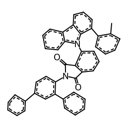 Cc1ccccc1-c1cccc2c3ccccc3n(-c3cccc4c3C(=O)N(c3ccc(-c5ccccc5)cc3-c3ccccc3)C4=O)c12